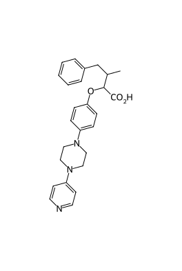 CC(Cc1ccccc1)C(Oc1ccc(N2CCN(c3ccncc3)CC2)cc1)C(=O)O